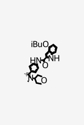 CC(C)COc1cccc2[nH]c(C(=O)Nc3ccc([C@@H](C)N(C)C4CCOCC4)cc3)cc12